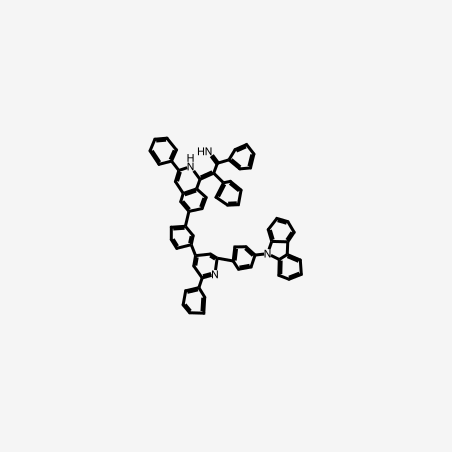 N=C(/C(=C1\NC(c2ccccc2)=Cc2cc(-c3cccc(-c4cc(-c5ccccc5)nc(-c5ccc(-n6c7ccccc7c7ccccc76)cc5)c4)c3)ccc21)c1ccccc1)c1ccccc1